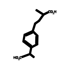 CC(CCc1ccc(C(C)C(=O)O)cc1)C(=O)O